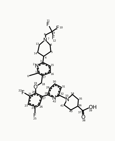 Cc1nc(C2CCN(CC(F)(F)F)CC2)ccc1COc1c(F)cc(F)cc1-c1cccc(N2CCC(C(=O)O)CC2)n1